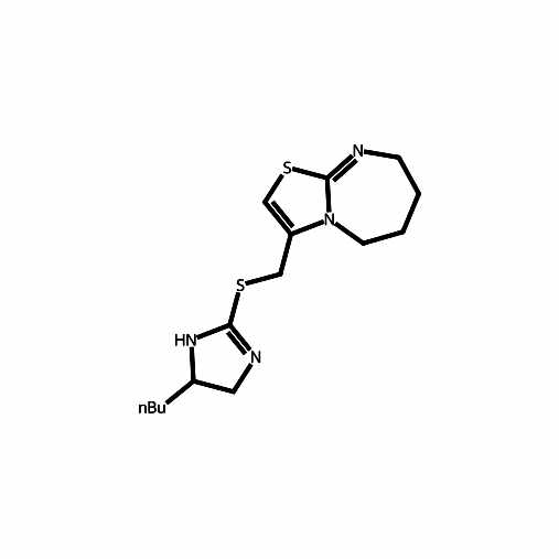 CCCCC1CN=C(SCC2=CSC3=NCCCCN23)N1